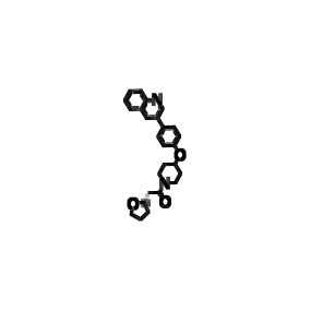 O=C(C[C@@H]1CCCO1)N1CCC(Oc2ccc(-c3cnc4ccccc4c3)cc2)CC1